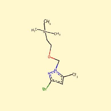 C[Si](C)(C)CCOCn1nc(Br)cc1C(F)(F)F